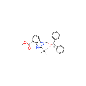 COC(=O)c1cccc2c1nc(C(C)(C)C)n2CO[SiH](c1ccccc1)c1ccccc1